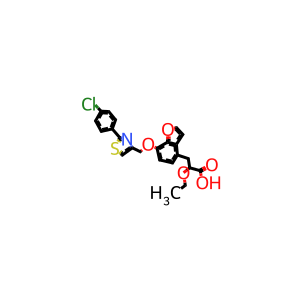 CCOC(Cc1ccc(OCc2csc(-c3ccc(Cl)cc3)n2)c2occc12)C(=O)O